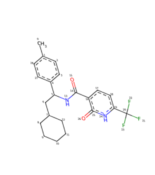 Cc1ccc(C(CC2CCCCC2)NC(=O)c2ccc(C(F)(F)F)[nH]c2=O)cc1